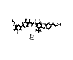 CCOc1cc(-c2ncc(NC(=O)Nc3cc(C(F)(F)F)c(CN4CCN(CCO)CC4)cc3F)c(C)n2)c[nH]c1=O.Cl.Cl.Cl